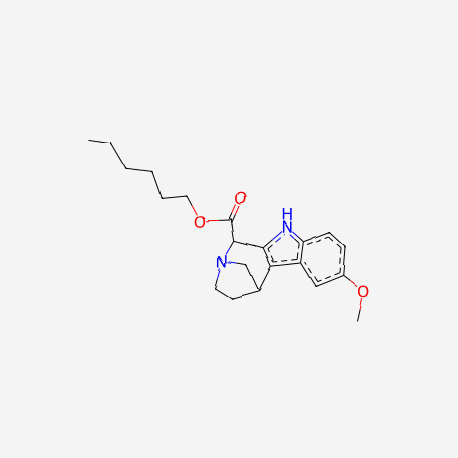 CCCCCCOC(=O)C1c2[nH]c3ccc(OC)cc3c2C2CCN1C2